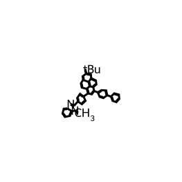 Cn1c(-c2ccc(-c3cc(-c4ccc(-c5ccccc5)cc4)c4ccc5cc(C(C)(C)C)cc6ccc3c4c56)cc2)nc2ccccc21